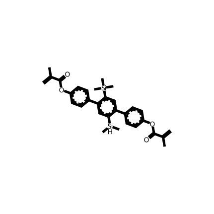 C=C(C)C(=O)Oc1ccc(-c2cc([Si](C)(C)C)c(-c3ccc(OC(=O)C(=C)C)cc3)cc2[SiH](C)C)cc1